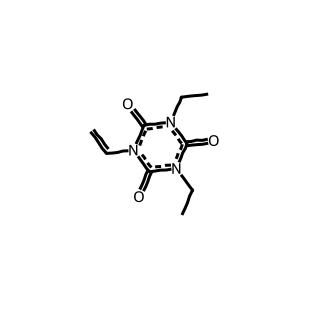 C=Cn1c(=O)n(CC)c(=O)n(CC)c1=O